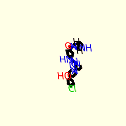 O=C(c1ccc(Nc2nc3c(N4CCC(O)(c5ccc(Cl)cc5)CC4)cccn3n2)cc1)N1C[C@@H]2CCN[C@@H]2C1